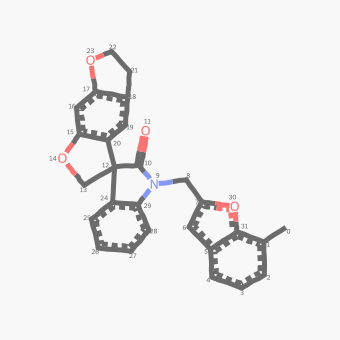 Cc1cccc2cc(CN3C(=O)C4(COc5cc6c(cc54)CCO6)c4ccccc43)oc12